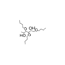 CCCCOCC(O)[C@@H](OCCCC)C(OCCCC)C(C)O